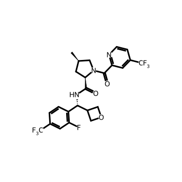 C[C@@H]1C[C@H](C(=O)N[C@@H](c2ccc(C(F)(F)F)cc2F)C2COC2)N(C(=O)c2cc(C(F)(F)F)ccn2)C1